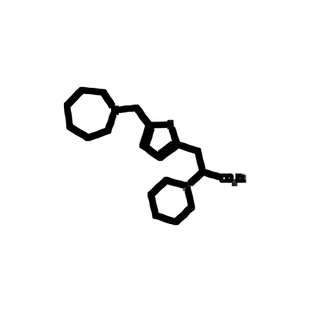 CCOC(=O)C(Cc1ccc(CN2CCCCCC2)s1)N1CCCCC1